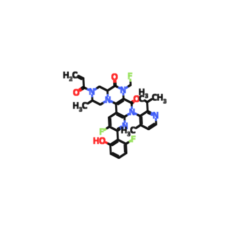 C=CC(=O)N1CC2C(=O)N(CF)c3c(c4cc(F)c(-c5c(O)cccc5F)nc4n(-c4c(C)ccnc4C(C)C)c3=O)N2CC1C